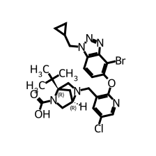 CC(C)(C)[C@@]12C[C@H](CN1C(=O)O)N(Cc1cc(Cl)cnc1Oc1ccc3c(nnn3CC3CC3)c1Br)C2